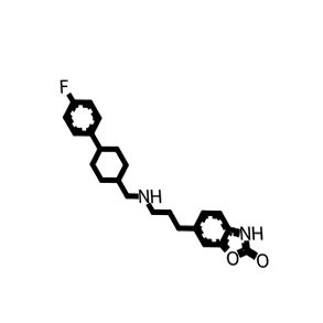 O=c1[nH]c2ccc(CCCNCC3CCC(c4ccc(F)cc4)CC3)cc2o1